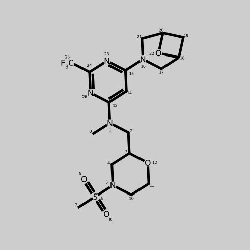 CN(CC1CN(S(C)(=O)=O)CCO1)c1cc(N2CC3CC(C2)O3)nc(C(F)(F)F)n1